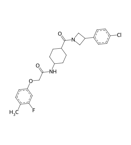 Cc1ccc(OCC(=O)NC2CCC(C(=O)N3CC(c4ccc(Cl)cc4)C3)CC2)cc1F